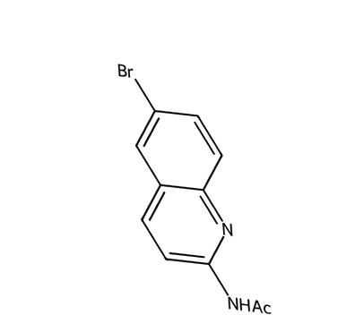 CC(=O)Nc1ccc2cc(Br)ccc2n1